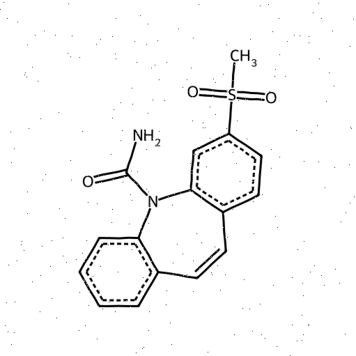 CS(=O)(=O)c1ccc2c(c1)N(C(N)=O)c1ccccc1C=C2